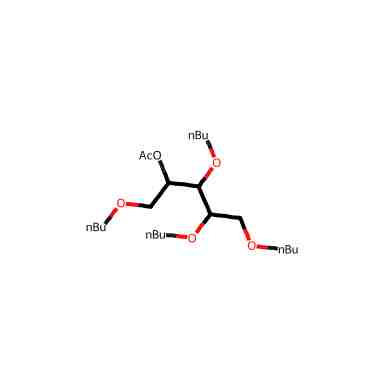 CCCCOCC(OCCCC)C(OCCCC)C(COCCCC)OC(C)=O